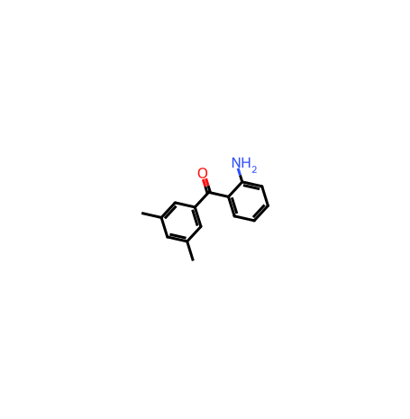 Cc1cc(C)cc(C(=O)c2ccccc2N)c1